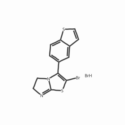 Br.BrC1=C(c2ccc3sccc3c2)N2CCN=C2S1